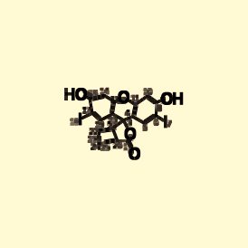 O=C1OC2(c3cc(I)c(O)cc3Oc3cc(O)c(I)cc32)c2ccccc21